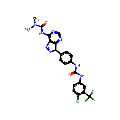 CN(C)C(=O)Nc1ncnc2c1N=NC2c1ccc(NC(=O)Nc2ccc(Cl)c(C(F)(F)F)c2)cc1